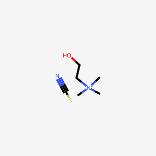 C[N+](C)(C)CCO.N#C[S-]